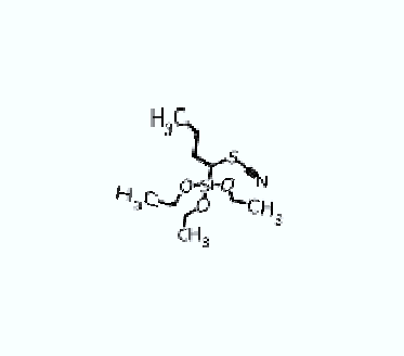 CCCC(SC#N)[Si](OCC)(OCC)OCC